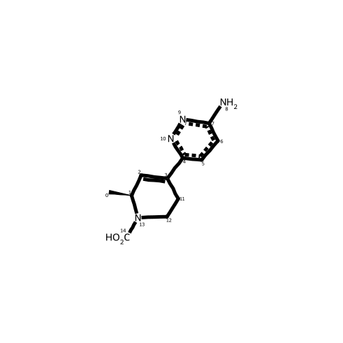 C[C@H]1C=C(c2ccc(N)nn2)CCN1C(=O)O